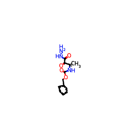 C[C@H](NC(=O)OCc1ccccc1)C(=O)C(=O)NN